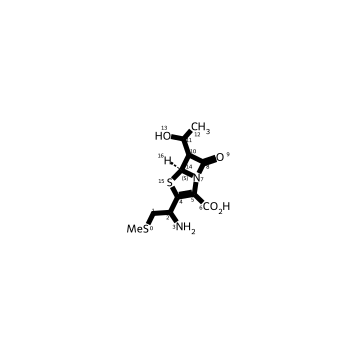 CSCC(N)C1=C(C(=O)O)N2C(=O)C(C(C)O)[C@@H]2S1